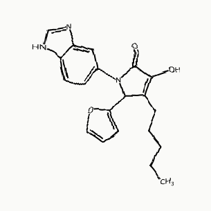 CCCCCC1=C(O)C(=O)N(c2ccc3[nH]cnc3c2)C1c1ccco1